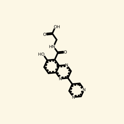 O=C(O)CNC(=O)c1c(O)ccc2nc(-c3cncnc3)cnc12